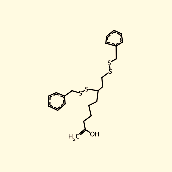 C=C(O)CCCCC(CCSSCc1ccccc1)SSCc1ccccc1